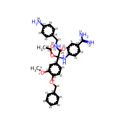 COc1cc([C@](Nc2ccc(C(=N)N)cc2)(OC(C)=O)C(=O)NCc2ccc(N)cc2)ccc1OCc1ccccc1